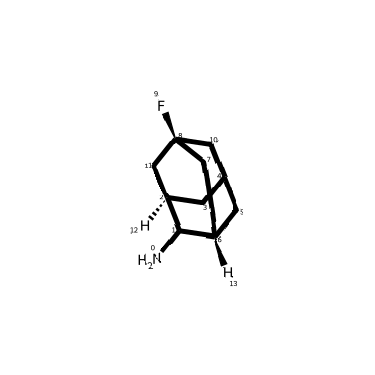 NC1[C@@H]2CC3C[C@H]1C[C@@](F)(C3)C2